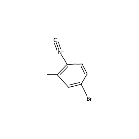 [C-]#[N+]c1ccc(Br)cc1C